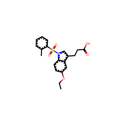 CCOc1ccc2c(c1)c(CCC(=O)O)cn2S(=O)(=O)c1ccccc1C